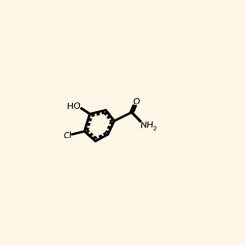 NC(=O)c1ccc(Cl)c(O)c1